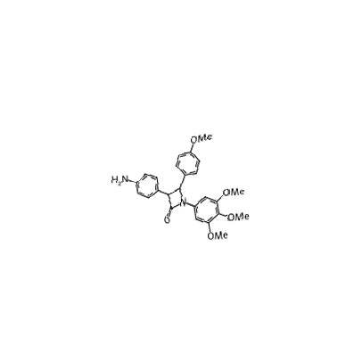 COc1ccc(C2C(c3ccc(N)cc3)C(=O)N2c2cc(OC)c(OC)c(OC)c2)cc1